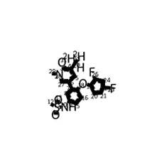 [2H]C([2H])([2H])c1cc(-c2cc(NS(C)(=O)=O)ccc2Oc2ccc(F)cc2F)cn(C)c1=O